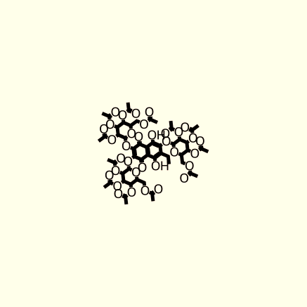 CCc1c(O)c2c(c(O)c1OC1OC(COC(C)=O)C(OC(C)=O)C(OC(C)=O)C1OC(C)=O)C(=O)C(OC1OC(COC(C)=O)C(OC(C)=O)C(OC(C)=O)C1OC(C)=O)=C(OC1OC(COC(C)=O)C(OC(C)=O)C(OC(C)=O)C1OC(C)=O)C2=O